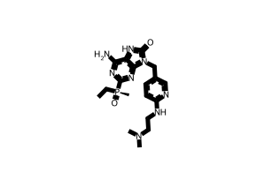 CC[P@@](C)(=O)c1nc(N)c2[nH]c(=O)n(Cc3ccc(NCCN(C)C)nc3)c2n1